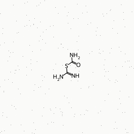 N=C(N)SC(N)=O